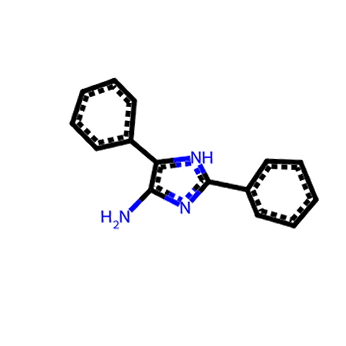 Nc1nc(-c2ccccc2)[nH]c1-c1ccccc1